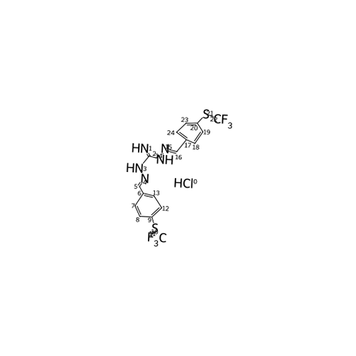 Cl.N=C(NN=Cc1ccc(SC(F)(F)F)cc1)NN=Cc1ccc(SC(F)(F)F)cc1